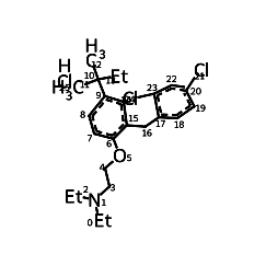 CCN(CC)CCOc1ccc(C(C)(C)CC)cc1Cc1ccc(Cl)cc1Cl.Cl